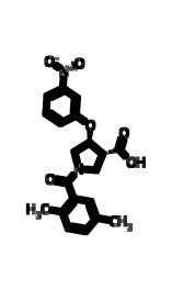 Cc1ccc(C)c(C(=O)N2C[C@@H](Oc3cccc([N+](=O)[O-])c3)[C@H](C(=O)O)C2)c1